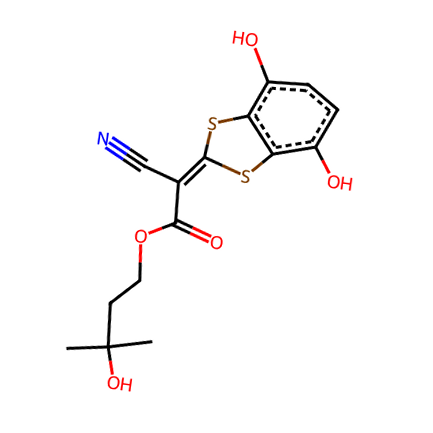 CC(C)(O)CCOC(=O)C(C#N)=C1Sc2c(O)ccc(O)c2S1